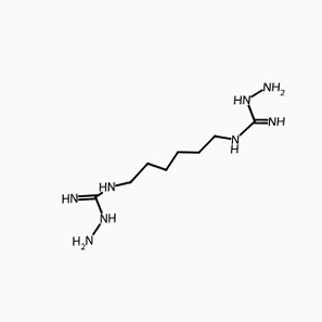 N=C(NN)NCCCCCCNC(=N)NN